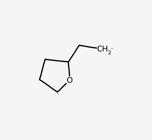 [CH2]CC1CC[CH]O1